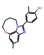 Cc1cc2c3c(c1)nc(-c1ccc(S)c(C)c1)n3CCCCO2